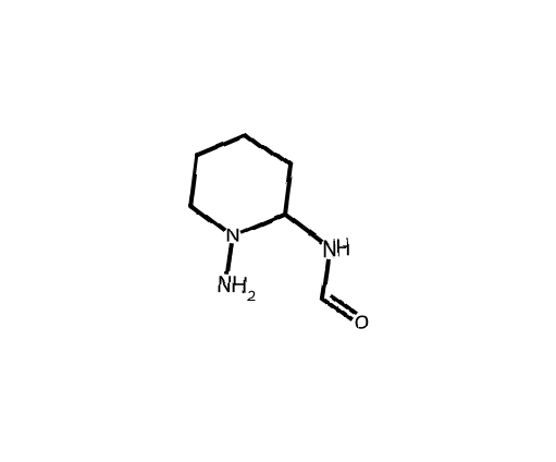 NN1CCCCC1NC=O